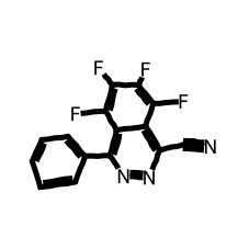 N#Cc1nnc(-c2ccccc2)c2c(F)c(F)c(F)c(F)c12